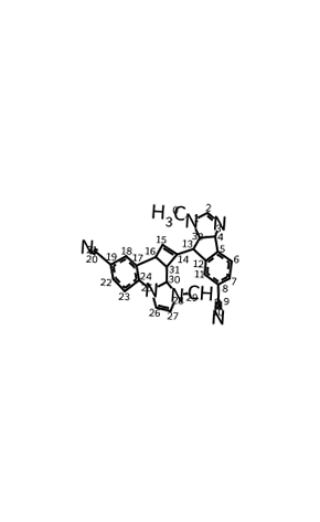 CN1C=NC2c3ccc(C#N)cc3C(C3=CC4c5cc(C#N)ccc5N5C=CN(C)C5C34)C21